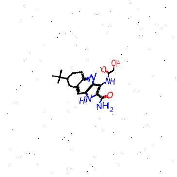 CC(C)(C)C1CCc2nc3c(NC(=O)CO)c(C(N)=O)[nH]c3cc2C1